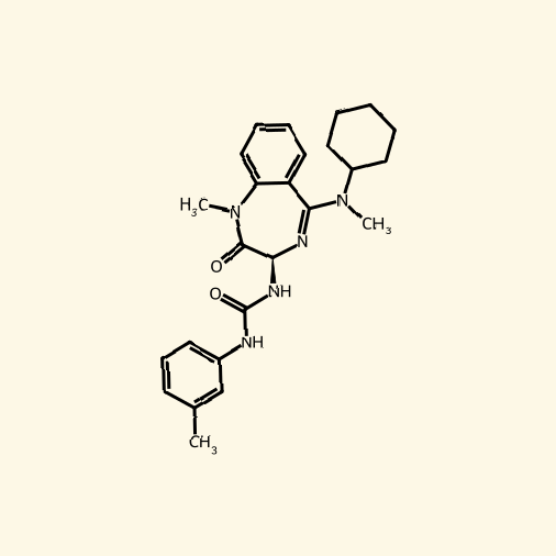 Cc1cccc(NC(=O)N[C@@H]2N=C(N(C)C3CCCCC3)c3ccccc3N(C)C2=O)c1